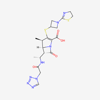 C[C@@H](NC(=O)Cn1cnnn1)[C@H]1C(=O)N2C(C(=O)O)=C(SC3CN(C4=NCCS4)C3)[C@H](C)[C@H]12